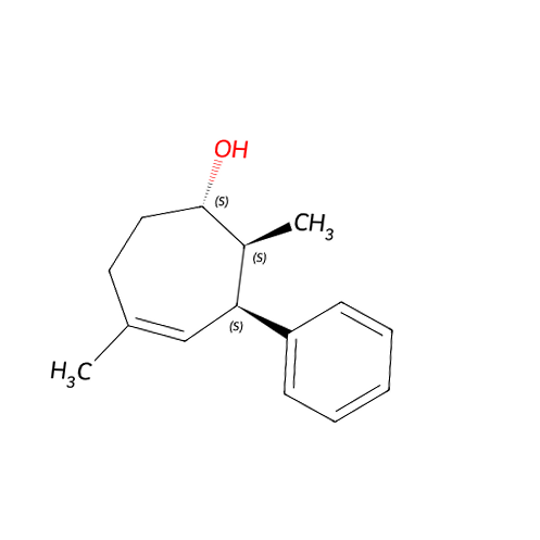 CC1=C[C@H](c2ccccc2)[C@H](C)[C@@H](O)CC1